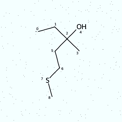 [CH2]CC(C)(O)CCSC